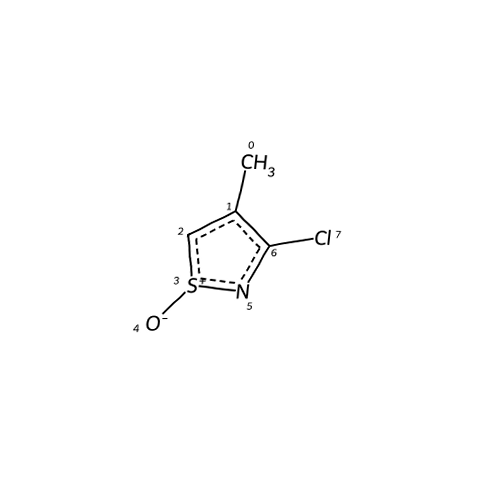 Cc1c[s+]([O-])nc1Cl